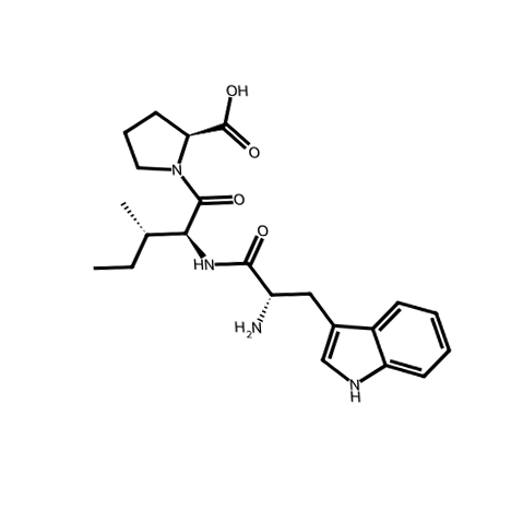 CC[C@H](C)[C@H](NC(=O)[C@@H](N)Cc1c[nH]c2ccccc12)C(=O)N1CCC[C@H]1C(=O)O